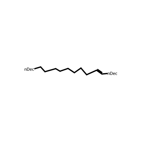 [CH2]CCCCCCCCC/C=C/CCCCCCCCCCCCCCCCCC